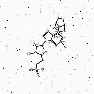 O=P(O)(O)CCC1OC(n2cnc3c(N4C5CCC4CC(O)C5)nc(Cl)nc32)C(O)C1O